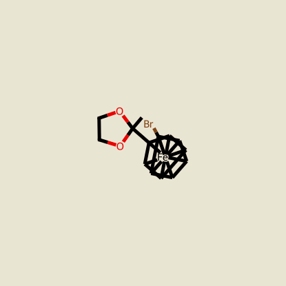 CC1([C]23[CH]4[CH]5[CH]6[CH]2[Fe]56432789[CH]3[CH]2[CH]7[C]8(Br)[CH]39)OCCO1